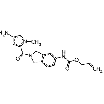 C=CCOC(=O)Nc1ccc2c(c1)CN(C(=O)c1cc(N)cn1C)C2